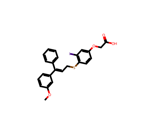 COc1cccc(C(=CCSc2ccc(OCC(=O)O)cc2I)c2ccccc2)c1